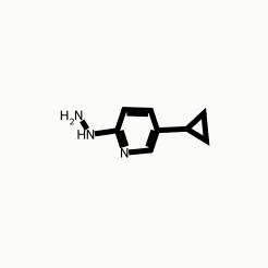 NNc1ccc(C2CC2)cn1